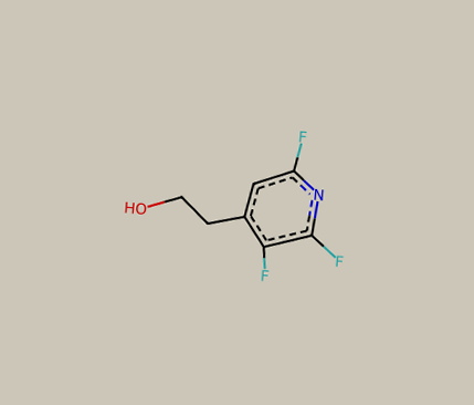 OCCc1cc(F)nc(F)c1F